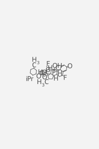 CC(C)[C@@H]1CC[C@@H](C)C[C@H]1OC(=O)O[C@@]1(C(=O)OCF)[C@H](C)C[C@H]2[C@@H]3C[C@H](F)C4=CC(=O)C=C[C@]4(C)C3(F)[C@@H](O)C[C@@]21C